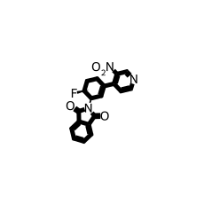 O=C1c2ccccc2C(=O)N1[C@H]1C=C(c2ccncc2[N+](=O)[O-])CC[C@@H]1F